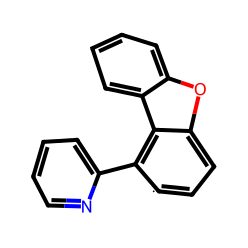 [c]1ccc2oc3ccccc3c2c1-c1ccccn1